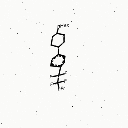 CCCCCCC1CCC(c2ccc(C(F)(F)C(F)(F)CCC)cc2)CC1